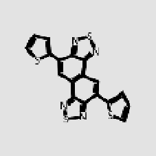 c1csc(-c2cc3c(cc(-c4cccs4)c4nsnc43)c3nsnc23)c1